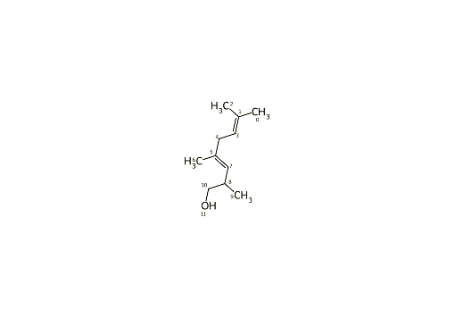 CC(C)=CCC(C)=CC(C)CO